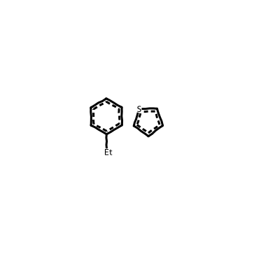 CCc1ccccc1.c1ccsc1